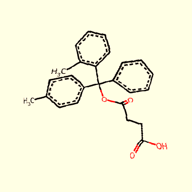 Cc1ccc(C(OC(=O)CCC(=O)O)(c2ccccc2)c2ccccc2C)cc1